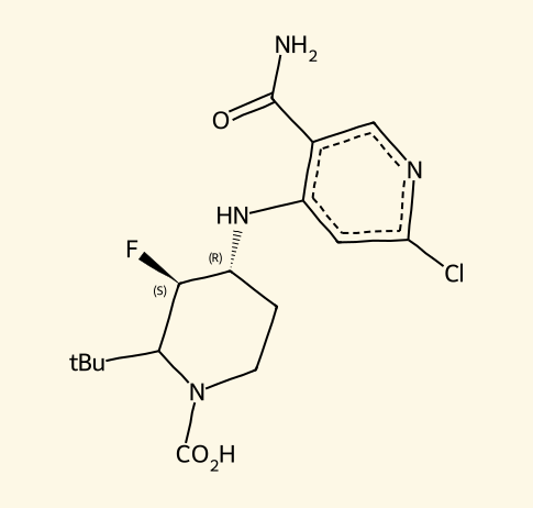 CC(C)(C)C1[C@@H](F)[C@H](Nc2cc(Cl)ncc2C(N)=O)CCN1C(=O)O